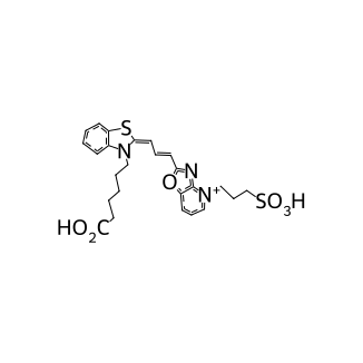 O=C(O)CCCCCN1/C(=C\C=C\c2nc3c(ccc[n+]3CCCS(=O)(=O)O)o2)Sc2ccccc21